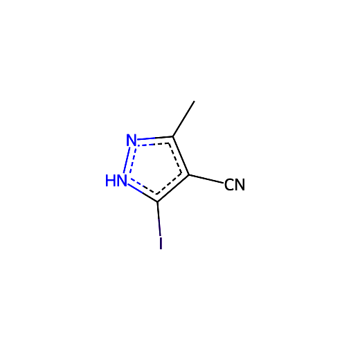 Cc1n[nH]c(I)c1C#N